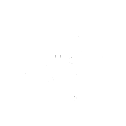 C=C(C)C(=O)OCC(CCCC)OC(=O)C(=C)C